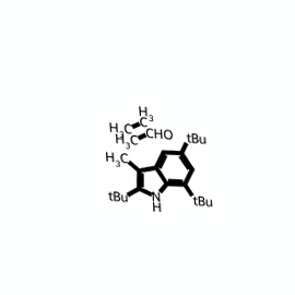 CC.CC=O.Cc1c(C(C)(C)C)[nH]c2c(C(C)(C)C)cc(C(C)(C)C)cc12